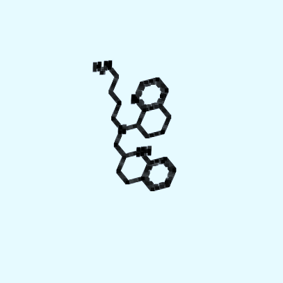 NCCCCN(CC1CCc2ccccc2N1)C1CCCc2cccnc21